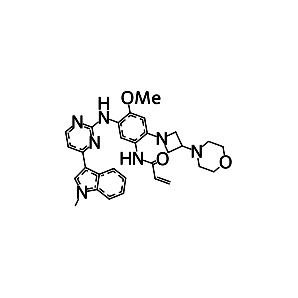 C=CC(=O)Nc1cc(Nc2nccc(-c3cn(C)c4ccccc34)n2)c(OC)cc1N1CC(N2CCOCC2)C1